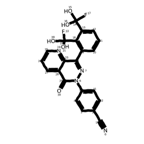 N#Cc1ccc(-n2nc(-c3cccc(C(O)(O)F)c3C(O)(O)F)c3ncccc3c2=O)cc1